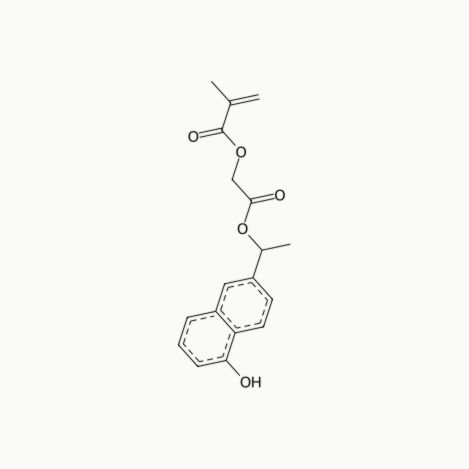 C=C(C)C(=O)OCC(=O)OC(C)c1ccc2c(O)cccc2c1